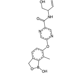 C=CC(CO)NC(=O)c1cnc(Oc2ccc3c(c2C)B(O)OC3)cn1